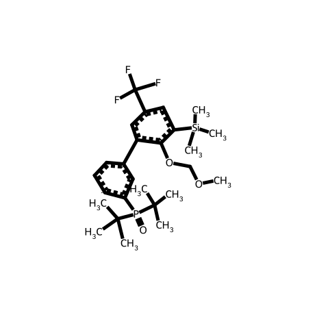 COCOc1c(-c2cc[c]c(P(=O)(C(C)(C)C)C(C)(C)C)c2)cc(C(F)(F)F)cc1[Si](C)(C)C